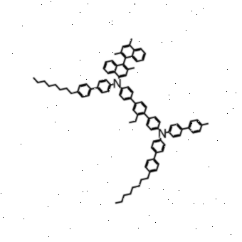 CCCCCCCCc1ccc(-c2ccc(N(c3ccc(-c4ccc(C)cc4)cc3)c3ccc(-c4ccc(-c5ccc(N(c6ccc(-c7ccc(CCCCCCCC)cc7)cc6)c6cc(C)c(-c7c(C)cc(C)c8ccccc78)c7ccccc67)cc5)cc4CC)cc3)cc2)cc1